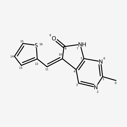 Cc1ncc2c(n1)NC(=O)C2=Cc1cccs1